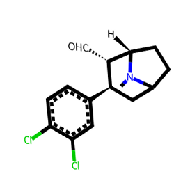 CN1C2CC[C@H]1[C@@H](C=O)[C@H](c1ccc(Cl)c(Cl)c1)C2